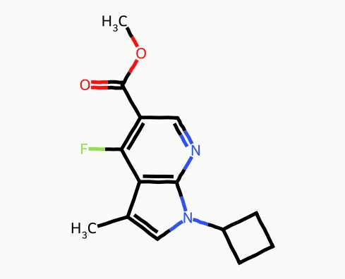 COC(=O)c1cnc2c(c(C)cn2C2CCC2)c1F